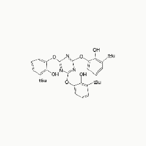 CC(C)(C)c1cccc(Oc2nc(Oc3cccc(C(C)(C)C)c3O)nc(Oc3cccc(C(C)(C)C)c3O)n2)c1O